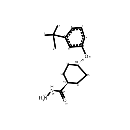 CC(C)(C)c1cccc(O[C@H]2CC[C@H](C(=O)NN)CC2)c1